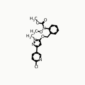 COC(=O)N(OC)c1ccccc1COc1cc(-c2ccc(Cl)nc2)nn1C